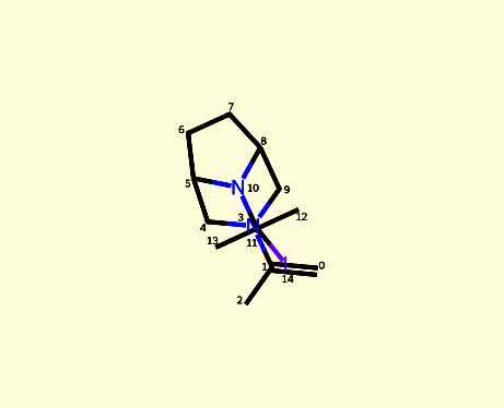 C=C(C)N1CC2CCC(C1)N2C(C)(C)I